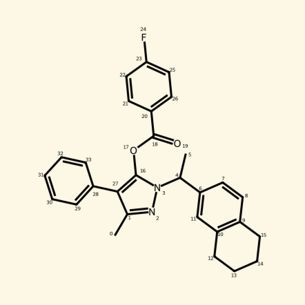 Cc1nn(C(C)c2ccc3c(c2)CCCC3)c(OC(=O)c2ccc(F)cc2)c1-c1ccccc1